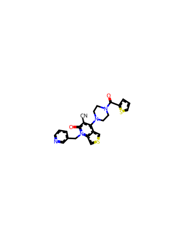 N#Cc1c(N2CCN(C(=O)c3cccs3)CC2)c2cscc2n(Cc2cccnc2)c1=O